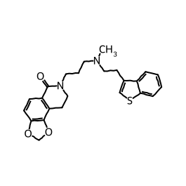 CN(CCCN1CCc2c(ccc3c2OCO3)C1=O)CCc1csc2ccccc12